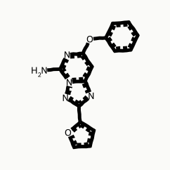 Nc1nc(Oc2ccccc2)cc2nc(-c3ccco3)nn12